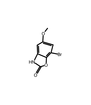 COc1cc(Br)c2oc(=O)[nH]c2c1